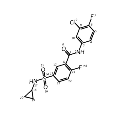 O=C(Nc1ccc(F)c(Cl)c1)c1cc(S(=O)(=O)NC2CC2)ccc1F